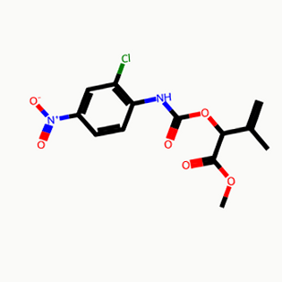 C=C(C)C(OC(=O)Nc1ccc([N+](=O)[O-])cc1Cl)C(=O)OC